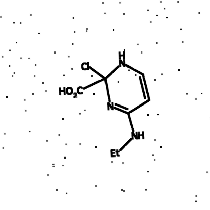 CCNC1=NC(Cl)(C(=O)O)NC=C1